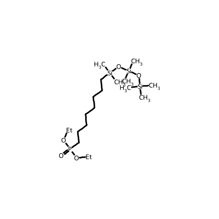 CCOP(=O)(CCCCCCCC[Si](C)(C)O[Si](C)(C)O[Si](C)(C)C)OCC